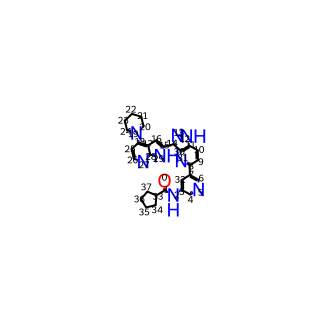 O=C(Nc1cncc(-c2ccc3[nH]nc(-c4cc5c(N6CCCCC6)ccnc5[nH]4)c3n2)c1)C1CCCC1